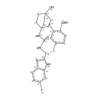 COc1ccc(C[C@@H](NC(=O)NC23CCC(O)(CC2)CC3)c2nc3ccc(F)cc3[nH]2)cc1F